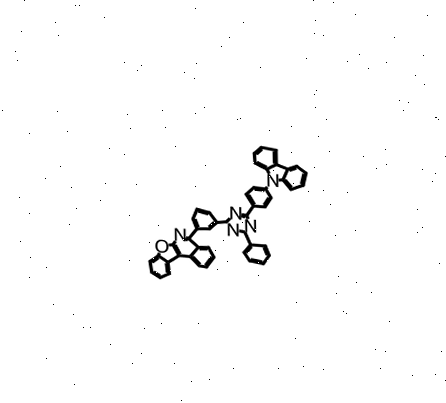 c1ccc(-c2nc(-c3ccc(-n4c5ccccc5c5ccccc54)cc3)nc(-c3cccc(-c4nc5oc6ccccc6c5c5ccccc45)c3)n2)cc1